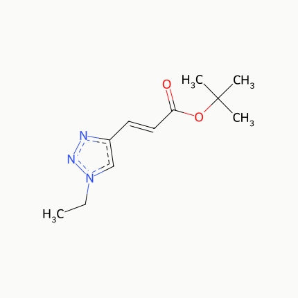 CCn1cc(C=CC(=O)OC(C)(C)C)nn1